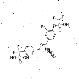 O=P(O)(Oc1ccc(CSCc2ccc(C(F)(F)P(=O)(O)O)cc2)cc1Br)C(F)F.[Na].[Na].[Na].[Na]